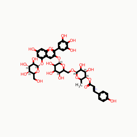 CC1O[C@@H](OCC2O[C@@H](Oc3cc4c(O[C@@H]5OC(CO)[C@@H](O)[C@H](O)C5O)cc(O)cc4[o+]c3-c3cc(O)c(O)c(O)c3)C(O)C(O)[C@@H]2O)C(O)[C@@H](O)[C@H]1OC(=O)/C=C/c1ccc(O)cc1